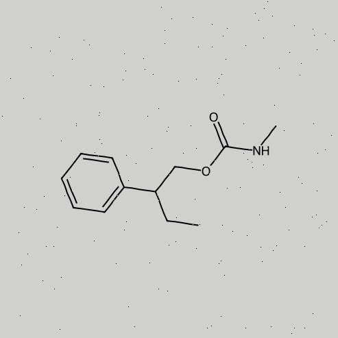 CCC(COC(=O)NC)c1ccccc1